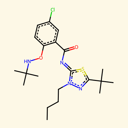 CCCCn1nc(C(C)(C)C)sc1=NC(=O)c1cc(Cl)ccc1ONC(C)(C)C